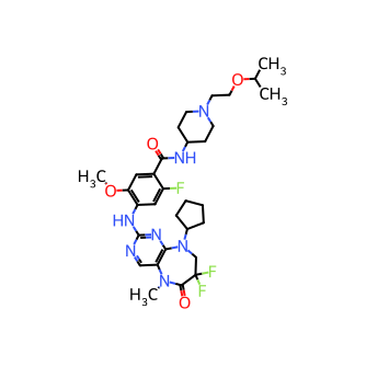 COc1cc(C(=O)NC2CCN(CCOC(C)C)CC2)c(F)cc1Nc1ncc2c(n1)N(C1CCCC1)CC(F)(F)C(=O)N2C